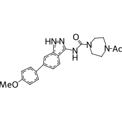 COc1ccc(-c2ccc3c(NC(=O)N4CCN(C(C)=O)CC4)n[nH]c3c2)cc1